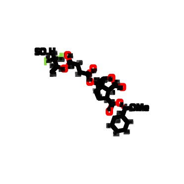 COC(OC(=O)C1C2CC3C(OC(=O)C31)C2OC(=O)CCC(=O)OC(C)C(F)(F)S(=O)(=O)O)C1CCCCC1